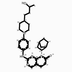 CC(O)CCC1CCN(c2ccc(Nc3ncc4ccc(=O)n([C@@H]5CC6CCC5C6)c4n3)cc2)CC1